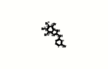 Brc1cccc(Nc2nc3c(Br)c(Br)c(Br)c(Br)c3[nH]2)c1